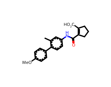 COc1ccc(-c2ccc(NC(=O)C3=C(C(=O)O)CCC3)cc2C)cc1